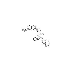 CN1CCc2ccc(N3CCC(C(=O)NC(Cc4ccc5c(c4)OCCO5)CN4CCCC4)C3)cc2C1